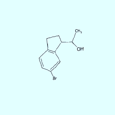 CC(O)C1CCc2ccc(Br)cc21